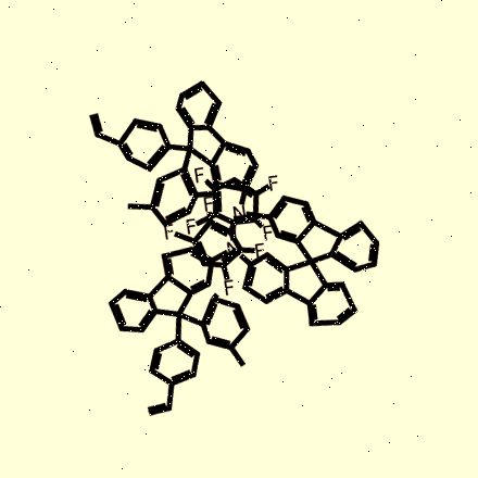 C=Cc1ccc(C2(c3cc(C)ccc3C)c3ccccc3-c3ccc(N(c4ccc5c(c4)C4(c6ccccc6-5)c5ccccc5-c5ccc(N(c6ccc7c(c6)C(c6ccc(C=C)cc6)(c6cc(C)ccc6C)c6ccccc6-7)c6c(F)c(F)cc(F)c6F)cc54)c4c(F)c(F)cc(F)c4F)cc32)cc1